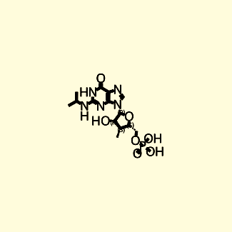 CC(C)Nc1nc2c(ncn2[C@@H]2O[C@H](COP(=O)(O)O)[C@@H](C)[C@H]2O)c(=O)[nH]1